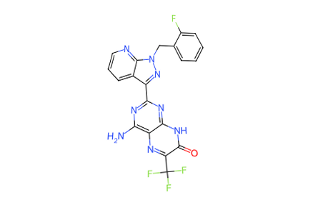 Nc1nc(-c2nn(Cc3ccccc3F)c3ncccc23)nc2[nH]c(=O)c(C(F)(F)F)nc12